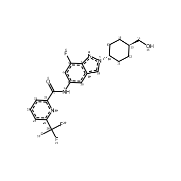 O=C(Nc1cc(F)c2nn([C@H]3CC[C@H](CO)CC3)cc2c1)c1cccc(C(F)(F)F)n1